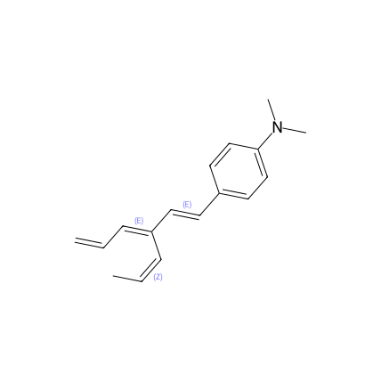 C=C/C=C(\C=C/C)/C=C/c1ccc(N(C)C)cc1